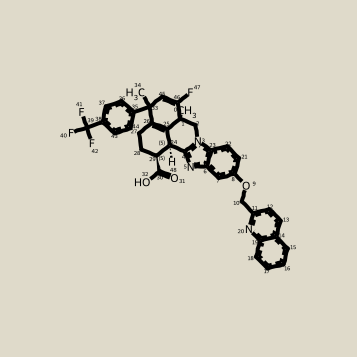 CC12Cn3c(nc4cc(OCc5ccc6ccccc6n5)ccc43)[C@@H]3C1=C(CC[C@@H]3C(=O)O)C(C)(c1ccc(C(F)(F)F)cc1)C=C2F